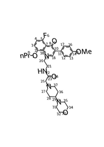 CCCOc1ccc(F)c2c(=O)c(-c3ccc(OC)cc3)cn(CCNC(=O)CN3CCC(N4CCOCC4)CC3)c12